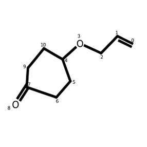 C=CCOC1CCC(=O)CC1